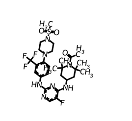 CC(=O)N1C(C)(C)CC(Nc2nc(Nc3ccc(N4CCN(S(C)(=O)=O)CC4)c(C(F)(F)F)c3)ncc2F)CC1(C)C